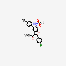 CCS(=O)(=O)Nc1cc2oc(-c3ccc(F)cc3)c(C(=O)NC)c2cc1-c1ccc(C#N)cc1